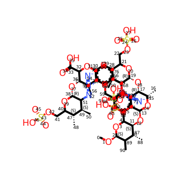 CO[C@H]1OC(COS(=O)(=O)O)[C@@H](O[C@@H]2O[C@@H](C)[C@@H](O[C@H]3OC(COS(=O)(=O)O)[C@@H](O[C@@H]4OC(C(=O)O)[C@@H](O[C@H]5OC(COS(=O)(=O)O)[C@@H](C)[C@H](C)C5N=[N+]=[N-])[C@H](C)C4OCc4ccccc4)[C@H](C)C3N=[N+]=[N-])C(OCc3ccccc3)C2OS(=O)(=O)O)[C@H](C)C1C